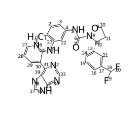 Cc1ccc(NC(=O)N2OCC[C@@H]2c2cccc(C(F)F)c2)cc1Nc1ncccc1-c1ncnc2[nH]cnc12